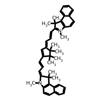 CN1/C(=C/C=C/C2=CC(=C/C=C/C3=[N+](C)c4ccc5ccccc5c4C3(C)C)/C(C)(C)C2(C)C)C(C)(C)c2c1ccc1ccccc21